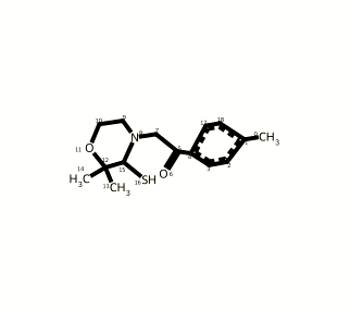 Cc1ccc(C(=O)CN2CCOC(C)(C)C2S)cc1